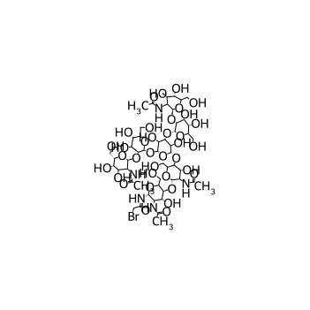 CC(=O)NC1C(O)[C@H](O)[C@H](CO)O[C@H]1OC1[C@@H](OC2O[C@@H](O[C@@H]3C(CO)O[C@@H](O[C@@H]4C(CO)O[C@@H](NC(=O)CBr)C(NC(C)=O)[C@H]4O)C(NC(C)=O)[C@H]3O)C(O)[C@@H](O[C@H]3OC(CO)[C@@H](O)C(O)C3O[C@@H]3OC(CO)[C@@H](O)[C@H](O)C3NC(C)=O)[C@@H]2O)OC(CO)[C@@H](O)[C@@H]1O